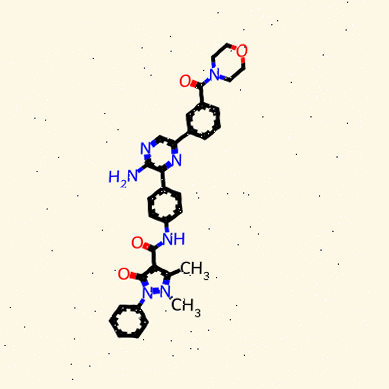 Cc1c(C(=O)Nc2ccc(-c3nc(-c4cccc(C(=O)N5CCOCC5)c4)cnc3N)cc2)c(=O)n(-c2ccccc2)n1C